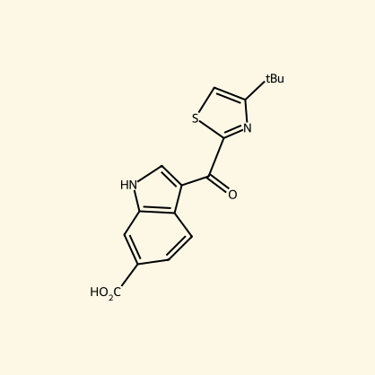 CC(C)(C)c1csc(C(=O)c2c[nH]c3cc(C(=O)O)ccc23)n1